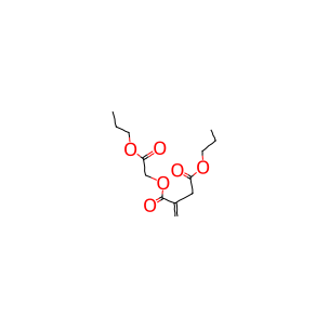 C=C(CC(=O)OCCC)C(=O)OCC(=O)OCCC